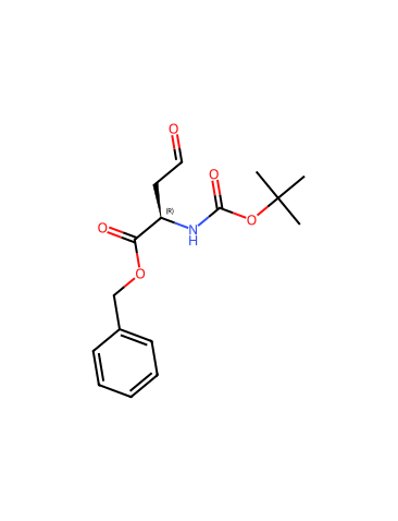 CC(C)(C)OC(=O)N[C@H](CC=O)C(=O)OCc1ccccc1